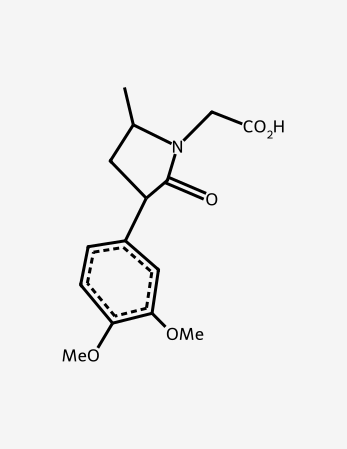 COc1ccc(C2CC(C)N(CC(=O)O)C2=O)cc1OC